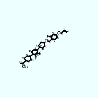 C=CCOc1ccc(COC2CCC(c3ccc(C4CCC(C(C)O)CC4)c(F)c3F)CC2)c(F)c1